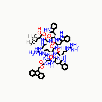 CC[C@H](C)[C@H](NC(=O)[C@@H](CCCNC(=N)N)NC(=O)[C@@H](Cc1c[nH]c2ccccc12)NC(=O)[C@@H](Cc1c[nH]c2ccccc12)NC(=O)[C@@H](CCCNC(=N)N)NC(=O)[C@@H](CCCNC(=N)N)NC(=O)[C@@H](Cc1c[nH]c2ccccc12)NC(=O)CNC(=O)OCC1c2ccccc2-c2ccccc21)C(=O)O